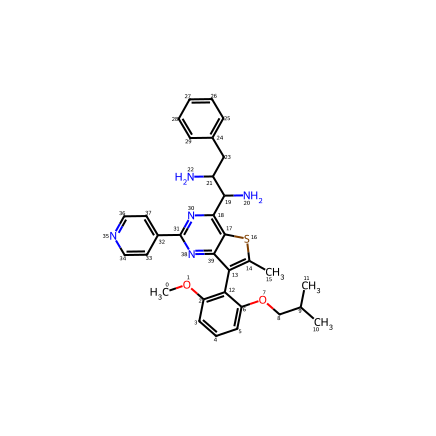 COc1cccc(OCC(C)C)c1-c1c(C)sc2c(C(N)C(N)Cc3ccccc3)nc(-c3ccncc3)nc12